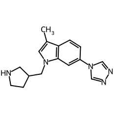 Cc1cn(CC2CCNC2)c2cc(-n3cnnc3)ccc12